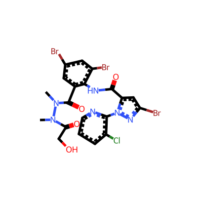 CN(C(=O)CO)N(C)C(=O)c1cc(Br)cc(Br)c1NC(=O)c1cc(Br)nn1-c1ncccc1Cl